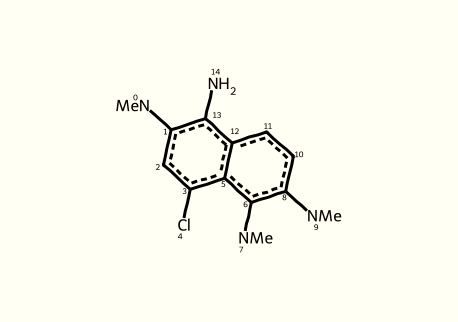 CNc1cc(Cl)c2c(NC)c(NC)ccc2c1N